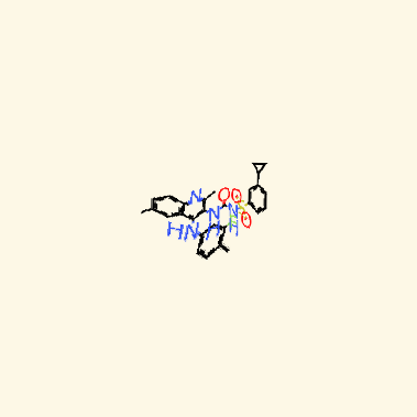 Cc1ccc2nc(C)c(NC(=O)NS(=O)(=O)c3cccc(C4CC4)c3)c(Nc3ccc(C)c(F)c3)c2c1